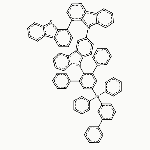 c1ccc(-c2cccc([Si](c3ccccc3)(c3ccccc3)c3cc(-c4ccccc4)c(-n4c5ccccc5c5cc(-n6c7ccccc7c7cccc(-c8cccc9c8sc8ccccc89)c76)ccc54)c(-c4ccccc4)c3)c2)cc1